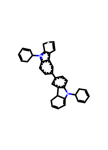 C1=CCC2C(=C1)N(C1C=CC=CC1)c1ccc(-c3ccc4c(c3)c3c(n4C4C=CC=CC4)CCC=C3)cc12